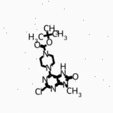 Cn1c(=O)[nH]c2c(N3CCN(C(=O)OC(C)(C)C)CC3)nc(Cl)nc21